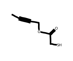 CC#CCOC(=O)CS